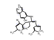 C/C=C1/C=C(N/C(=N/C(C=C(C)C)=C/C)N(CC=O)CC(=C/C)/C(Br)=C\C(C)F)C(O)=C/C1=N/C(C)CC